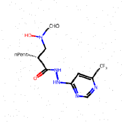 CCCCC[C@H](CN(O)C=O)C(=O)NNc1cc(C(F)(F)F)ncn1